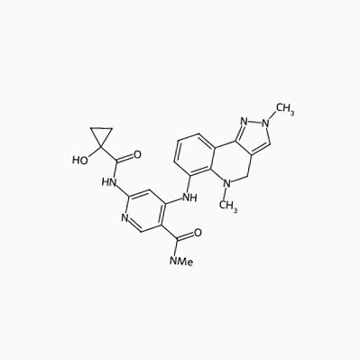 CNC(=O)c1cnc(NC(=O)C2(O)CC2)cc1Nc1cccc2c1N(C)Cc1cn(C)nc1-2